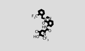 O=C(Nc1cccc2ncn(Cc3ccccc3C(F)(F)F)c(=O)c12)c1cc(Cl)c(O)c(C(F)(F)F)n1